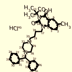 Cc1ccc2c(c1)c(=O)n(C(C)(C)C(=O)O)c(=O)n2CCCCN1CCN(C(c2ccccc2)c2ccccc2)CC1.Cl